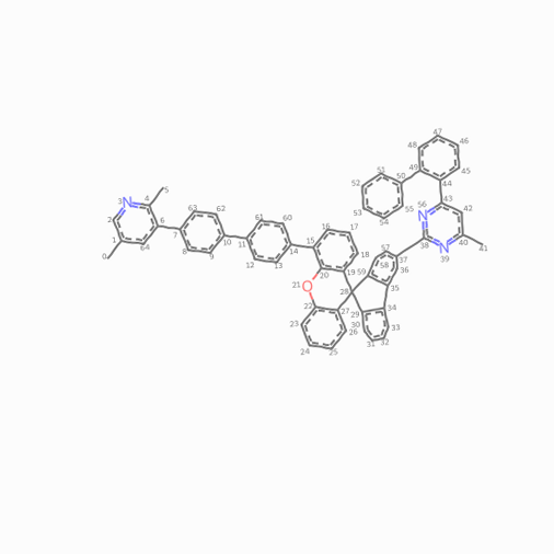 Cc1cnc(C)c(-c2ccc(-c3ccc(-c4cccc5c4Oc4ccccc4C54c5ccccc5-c5cc(-c6nc(C)cc(-c7ccccc7-c7ccccc7)n6)ccc54)cc3)cc2)c1